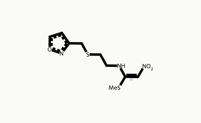 CS/C(=C/[N+](=O)[O-])NCCSCc1ccon1